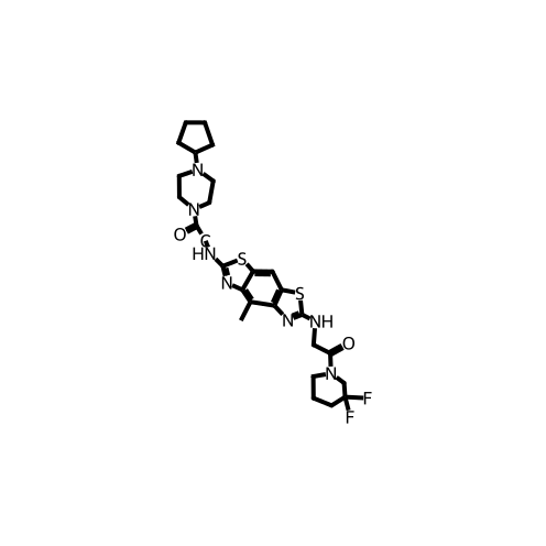 Cc1c2nc(NCC(=O)N3CCN(C4CCCC4)CC3)sc2cc2sc(NCC(=O)N3CCCC(F)(F)C3)nc12